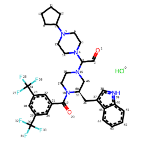 Cl.O=CC(N1CCN(C2CCCC2)CC1)N1CCN(C(=O)c2cc(C(F)(F)F)cc(C(F)(F)F)c2)[C@H](Cc2c[nH]c3ccccc23)C1